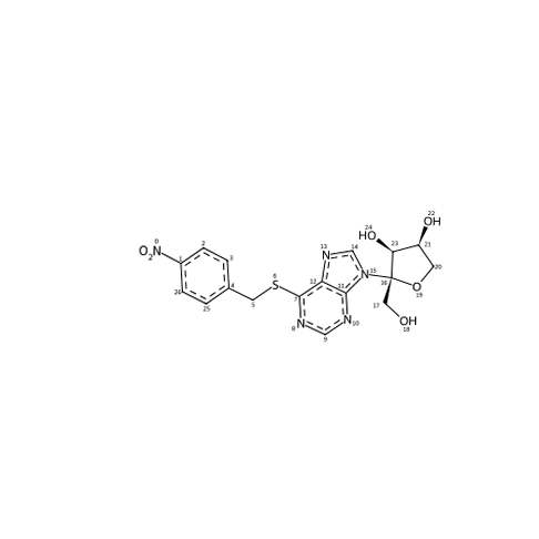 O=[N+]([O-])c1ccc(CSc2ncnc3c2ncn3[C@@]2(CO)OC[C@H](O)[C@@H]2O)cc1